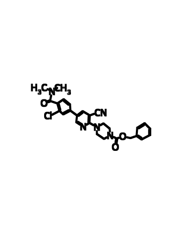 CN(C)C(=O)c1ccc(-c2cnc(N3CCN(C(=O)OCc4ccccc4)CC3)c(C#N)c2)cc1Cl